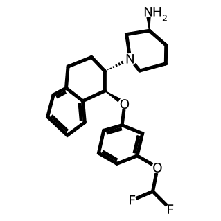 N[C@H]1CCCN([C@H]2CCc3ccccc3[C@@H]2Oc2cccc(OC(F)F)c2)C1